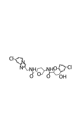 O=C(N[C@@H]1CC[C@@H](C(=O)NCc2cn3ccc(Cl)cc3n2)OC1)C1CC(O)c2cc(Cl)ccc2O1